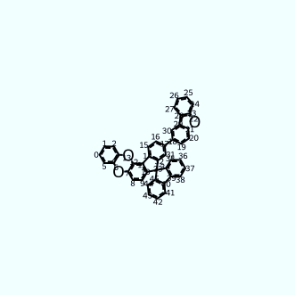 c1ccc2c(c1)Oc1ccc3c(c1O2)-c1ccc(-c2ccc4oc5ccccc5c4c2)cc1C31c2ccccc2-c2ccccc21